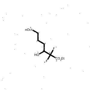 CCCCCCCCCCCC(O)C(F)(F)C(=O)OCC